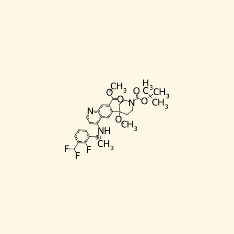 COC(=O)c1cc2nccc(N[C@H](C)c3cccc(C(F)F)c3F)c2cc1C1(OC)CCN(C(=O)OC(C)(C)C)CC1